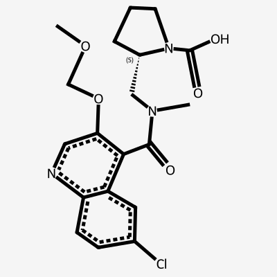 COCOc1cnc2ccc(Cl)cc2c1C(=O)N(C)C[C@@H]1CCCN1C(=O)O